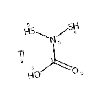 O=C(O)N(S)S.[Ti]